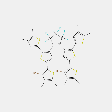 Cc1cc(-c2sc(-c3sc(C)c(C)c3Br)cc2C2=C(c3cc(-c4sc(C)c(C)c4Br)sc3-c3cc(C)c(C)s3)C(F)(F)C(F)(F)C2(F)F)sc1C